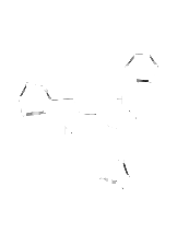 N[C@@H](Cc1ccccc1)[C@@H]1C[C@@H](Cc2cncs2)NB(c2ccccc2)O1